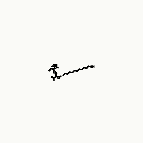 C=C(C)C(=O)OC.C=CC(=O)OC.CCCCCCCCCCCCS.CO